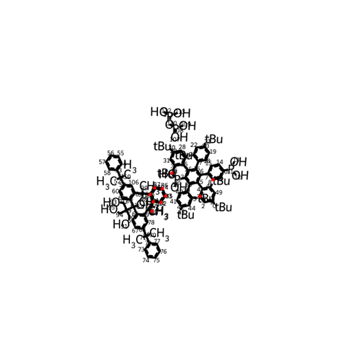 CC(C)(C)c1ccc(-c2c(-c3ccc(P(O)O)cc3)c(-c3ccc(C(C)(C)C)cc3C(C)(C)C)c(-c3ccc(C(C)(C)C)cc3C(C)(C)C)c(P(O)O)c2-c2ccc(C(C)(C)C)cc2C(C)(C)C)c(C(C)(C)C)c1.CC(C)(c1ccccc1)c1ccc(C(O)(c2ccc(C(C)(C)c3ccccc3)cc2C(C)(C)c2ccccc2)C(CO)(CO)CO)c(C(C)(C)c2ccccc2)c1.OP(O)OP(O)O